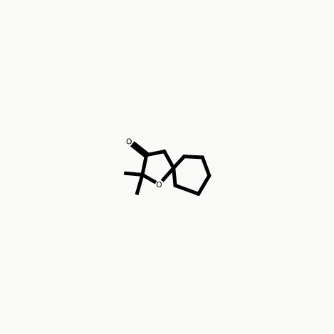 CC1(C)OC2(CCCCC2)CC1=O